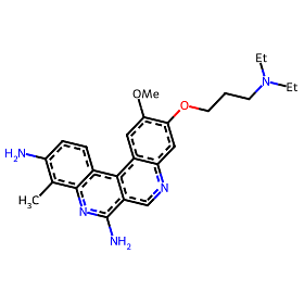 CCN(CC)CCCOc1cc2ncc3c(N)nc4c(C)c(N)ccc4c3c2cc1OC